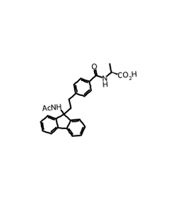 CC(=O)NC1(CCc2ccc(C(=O)N[C@@H](C)C(=O)O)cc2)c2ccccc2-c2ccccc21